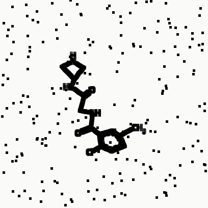 Cc1ccc(Cl)c(C(=O)NCC(=O)NC2CNC2)c1